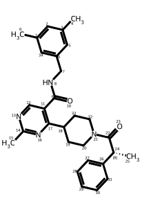 Cc1cc(C)cc(CNC(=O)c2cnc(C)nc2C2CCN(C(=O)[C@H](C)c3ccccc3)CC2)c1